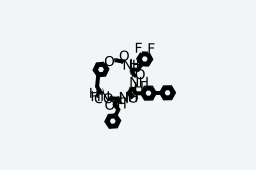 O=C1COc2ccc(cc2)C[C@@H](C(=O)O)NC(=O)[C@@H](CCc2ccccc2)NC(=O)[C@H](Cc2ccc(-c3ccccc3)cc2)NC(=O)[C@@H](Cc2ccc(F)c(F)c2)N1